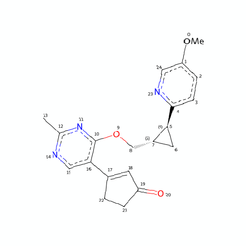 COc1ccc([C@H]2C[C@@H]2COc2nc(C)ncc2C2=CC(=O)CC2)nc1